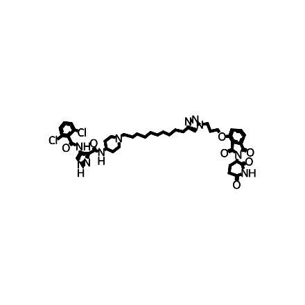 O=C1CCC(N2C(=O)c3cccc(OCCCn4cc(CCCCCCCCCCN5CCC(NC(=O)c6n[nH]cc6NC(=O)c6c(Cl)cccc6Cl)CC5)nn4)c3C2=O)C(=O)N1